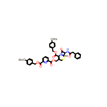 COc1ccc(COC(=O)C2=C(COC(=O)c3cccc(C(=O)OCc4ccc(OC)cc4)n3)CS[C@@H]3[C@H](NC(=O)Cc4ccccc4)C(=O)N23)cc1